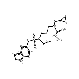 CC(C)CN(CCCN(CC1CC1)C(=O)OC(C)(C)C)S(=O)(=O)Cc1ccc2occc2c1